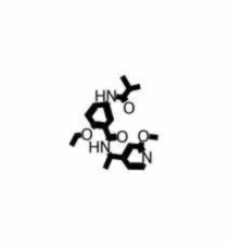 CCOc1ccc(NC(=O)C(C)C)cc1C(=O)NC(C)c1ccnc(OC)c1